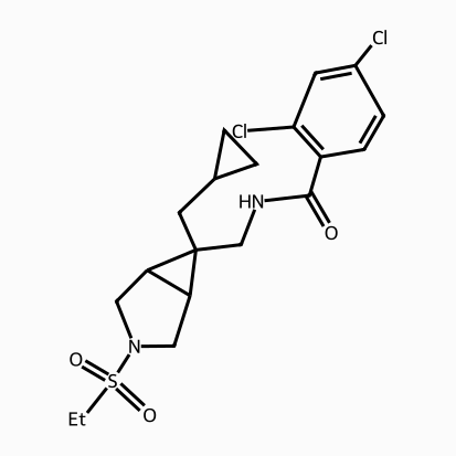 CCS(=O)(=O)N1CC2C(C1)C2(CNC(=O)c1ccc(Cl)cc1Cl)CC1CC1